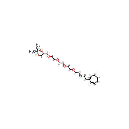 CC1(C)OCC(COCCOCCOCCOCCOCCC2=CCCCC=C2)O1